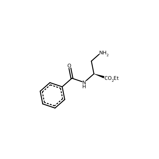 CCOC(=O)[C@H](CN)NC(=O)c1ccccc1